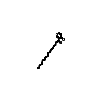 CCCCCCCCCCCCCCCC(=O)c1coccc1=O